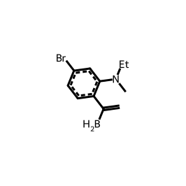 BC(=C)c1ccc(Br)cc1N(C)CC